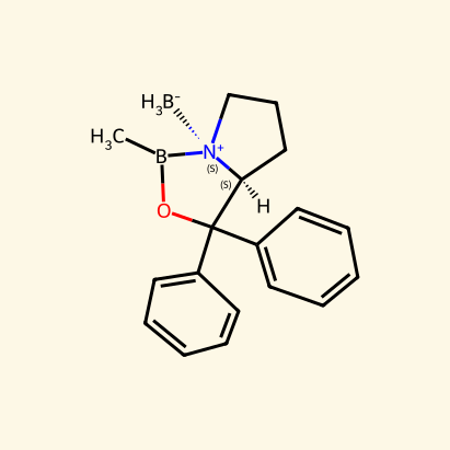 [BH3-][N@+]12CCC[C@H]1C(c1ccccc1)(c1ccccc1)OB2C